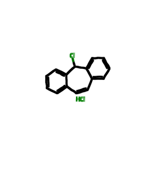 Cl.ClC1c2ccccc2C=Cc2ccccc21